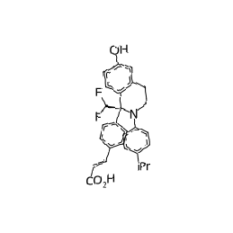 CC(C)c1ccc(N2CCc3cc(O)ccc3[C@]2(c2ccc(/C=C/C(=O)O)cc2)C(F)F)cc1